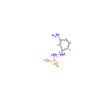 Nc1cccc(NN[SH](=O)=O)c1